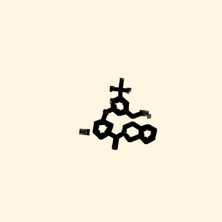 Cl.NCc1cc(Oc2cccc(C(=O)N3CCc4ccccc4C3)c2)nc(C(F)(F)F)c1